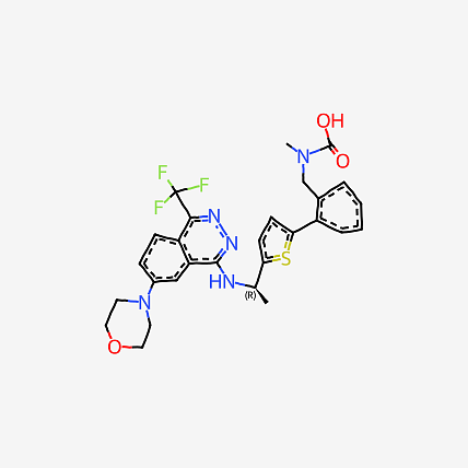 C[C@@H](Nc1nnc(C(F)(F)F)c2ccc(N3CCOCC3)cc12)c1ccc(-c2ccccc2CN(C)C(=O)O)s1